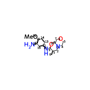 C=C(CN1CCOCC1)C(=O)Nc1ccc(OC)c(N)c1